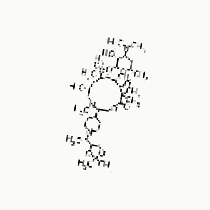 CO[C@]1(C)C[C@@H](C)CN(C)C(C2CCN(C(C)[C@H]3COC(C)(C)O3)CC2)COC(=O)C(C)(C)C(=O)[C@H](C)[C@H]1O[C@@H]1O[C@H](C)C[C@H](N(C)C)[C@H]1O